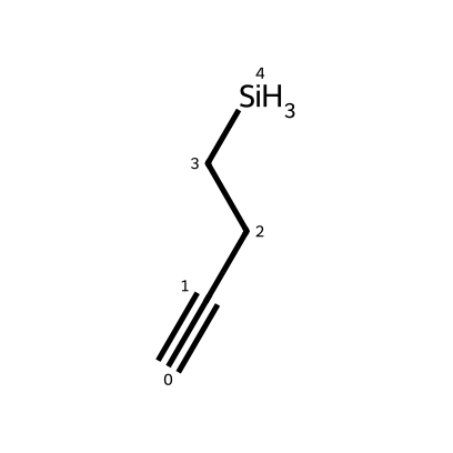 C#CCC[SiH3]